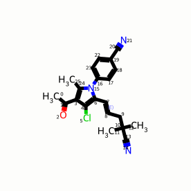 CC(=O)c1c(Cl)c(/C=C/CC(C)(C)C#N)n(-c2ccc(C#N)cc2)c1C